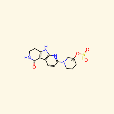 O=C1NCCc2[nH]c3nc(N4CCC[C@H](O[SH](=O)=O)C4)ccc3c21